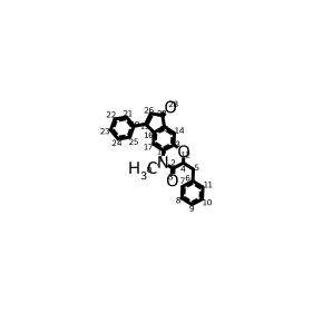 CN1C(=O)C(Cc2ccccc2)Oc2cc3c(cc21)C(c1ccccc1)=CC3=O